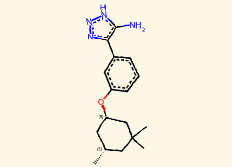 C[C@@H]1C[C@@H](Oc2cccc(-c3nn[nH]c3N)c2)CC(C)(C)C1